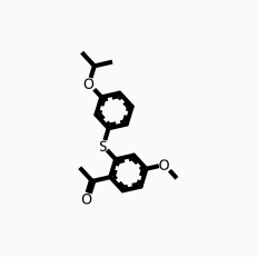 COc1ccc(C(C)=O)c(Sc2cccc(OC(C)C)c2)c1